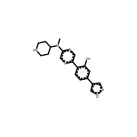 CN(c1cnc(-c2ccc(-c3cn[nH]c3)cc2O)cn1)C1CCNCC1